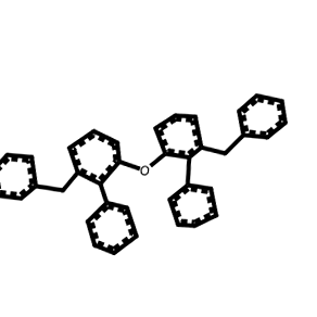 c1ccc(Cc2cccc(Oc3cccc(Cc4ccccc4)c3-c3ccccc3)c2-c2ccccc2)cc1